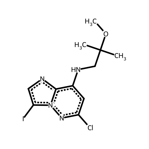 COC(C)(C)CNc1cc(Cl)nn2c(I)cnc12